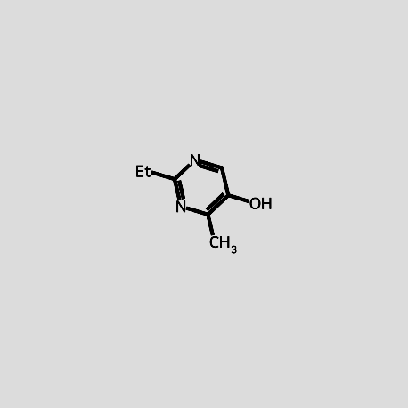 CCc1ncc(O)c(C)n1